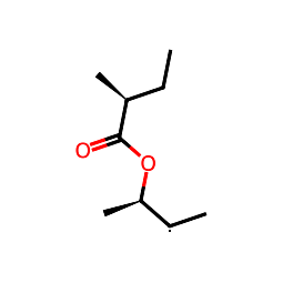 C[CH][C@@H](C)OC(=O)[C@@H](C)CC